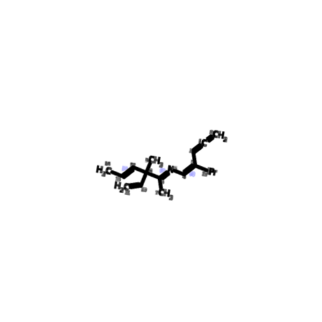 C=C=C/C(=C\N=C(/C)C(C)(C=C)/C=C/C)C(C)C